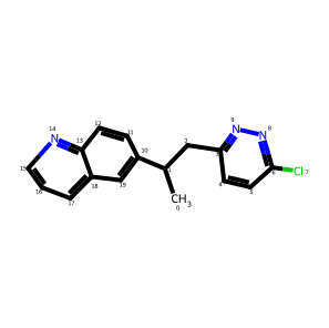 CC(Cc1ccc(Cl)nn1)c1ccc2ncccc2c1